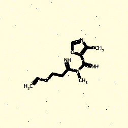 C=CCCCC(=N)N(C)C(=N)c1ocnc1C